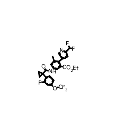 CCOC(=O)c1cc(NC(=O)C2(c3ccc(OC(F)(F)F)cc3F)CC2)cc(C)c1-c1ccc(C(F)F)nc1